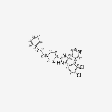 Clc1ccc(-c2[nH]c(C3CCN(CCCc4ccccc4)CC3)nc2-c2ccncc2)cc1Cl